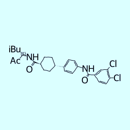 CCC(C)[C@H](NC(=O)[C@H]1CC[C@H](c2ccc(NC(=O)c3ccc(Cl)c(Cl)c3)cc2)CC1)C(C)=O